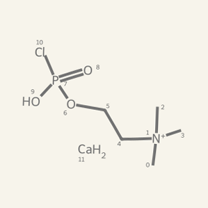 C[N+](C)(C)CCOP(=O)(O)Cl.[CaH2]